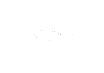 O=CNNc1cccc(Cl)c1